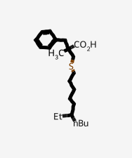 CCCCC(CC)CCCCCSCC(C)(Cc1ccccc1)C(=O)O